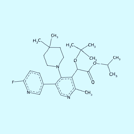 Cc1ncc(-c2ccc(F)nc2)c(N2CCC(C)(C)CC2)c1C(OC(C)(C)C)C(=O)OC(C)C